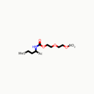 CSCCC(NC(=O)OCCOCCO[N+](=O)[O-])C(C)=O